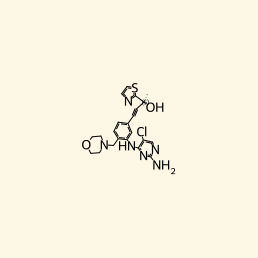 C[C@](O)(C#Cc1ccc(CN2CCOCC2)c(Nc2nc(N)ncc2Cl)c1)c1nccs1